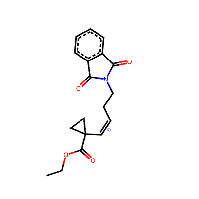 CCOC(=O)C1(/C=C\CCN2C(=O)c3ccccc3C2=O)CC1